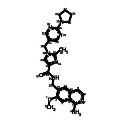 COc1cc2c(N)nccc2cc1CNC(=O)c1cn(Cc2cnc(N3CCCC3)nc2)c(C)n1